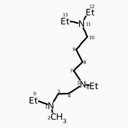 CCN(C)CCN(CC)CCCCN(CC)CC